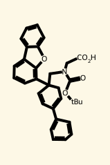 CC(C)(C)OC(=O)N(CC(=O)O)CC1(c2cccc3c2oc2ccccc23)C=CC(c2ccccc2)=CC1